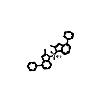 C[CH2][Zr]([CH3])([CH3])([CH]1C(C)=Cc2c(-c3ccccc3)cccc21)[CH]1C(C)=Cc2c(-c3ccccc3)cccc21